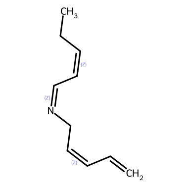 C=C/C=C\C/N=C\C=C/CC